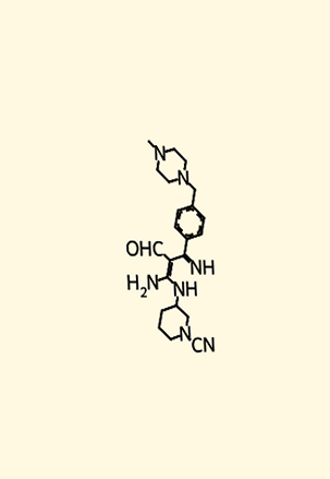 CN1CCN(Cc2ccc(C(=N)/C(C=O)=C(/N)NC3CCCN(C#N)C3)cc2)CC1